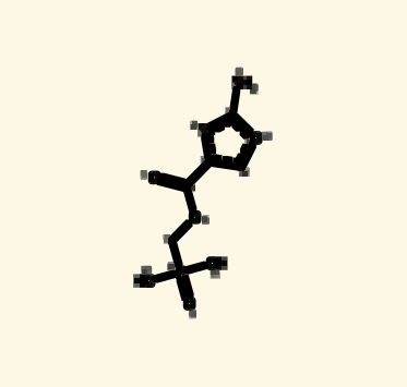 Nc1nc(C(=O)OCP(=O)(O)O)co1